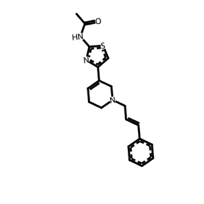 CC(=O)Nc1nc(C2=CCCN(CC=Cc3ccccc3)C2)cs1